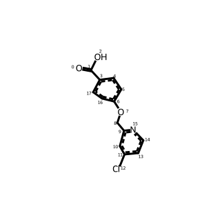 O=C(O)c1ccc(OCc2cc(Cl)ccn2)cc1